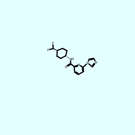 O=C(N[C@H]1CC[C@H](C(F)F)CC1)c1cccc(-n2ccnc2)n1